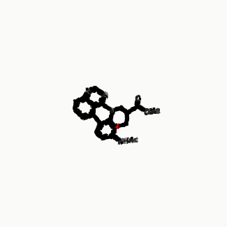 COC(=O)C1CCCN(c2ncnc3cccc(-c4ccc(NC(C)=O)cc4)c23)C1